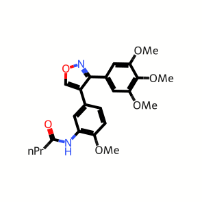 CCCC(=O)Nc1cc(-c2conc2-c2cc(OC)c(OC)c(OC)c2)ccc1OC